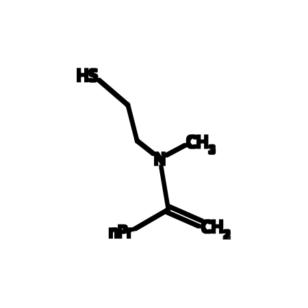 C=C(CCC)N(C)CCS